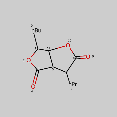 CCCCC1OC(=O)C2C(CCC)C(=O)OC12